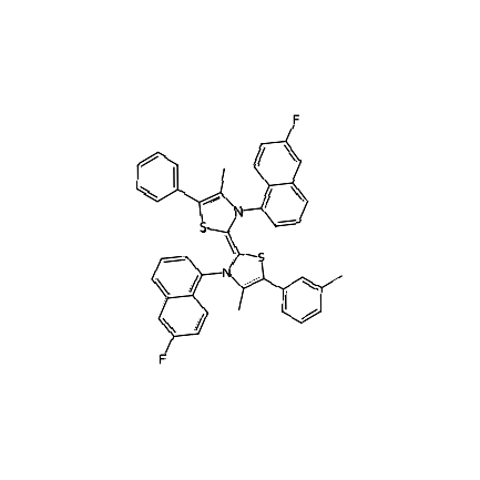 CC1=C(c2ccccc2)S/C(=C2/SC(c3cccc(C)c3)=C(C)N2c2cccc3cc(F)ccc23)N1c1cccc2cc(F)ccc12